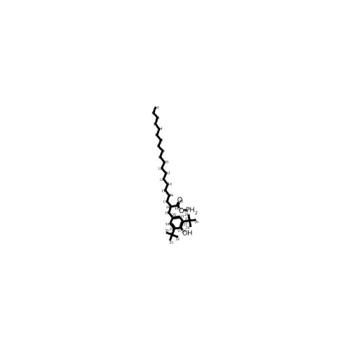 CCCCCCCCCCCCCCCCCCC(Cc1cc(C(C)(C)C)c(O)c(C(C)(C)C)c1)C(=O)OP